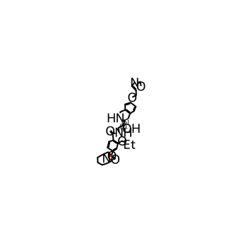 CCOc1cc(C(=O)N2C3CCCC2COC3)ccc1C(=O)NC[C@@H](O)[C@@H]1Cc2ccc(OCc3cnco3)cc2CN1